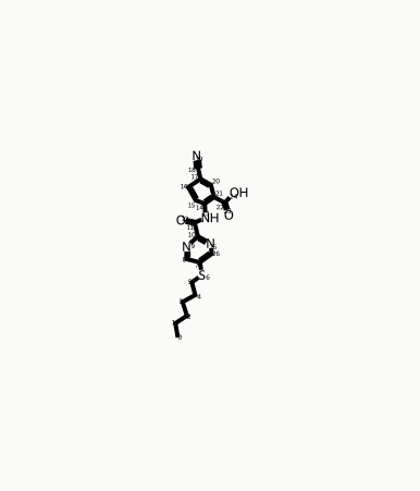 CCCCCCSc1cnc(C(=O)Nc2ccc(C#N)cc2C(=O)O)nc1